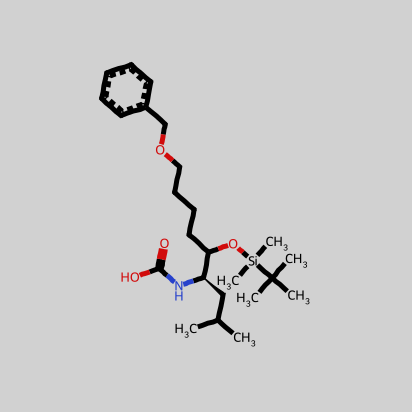 CC(C)C[C@@H](NC(=O)O)C(CCCCOCc1ccccc1)O[Si](C)(C)C(C)(C)C